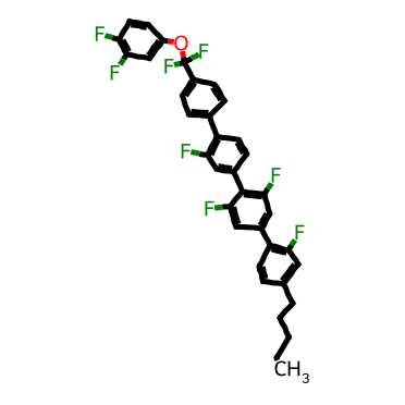 CCCCCc1ccc(-c2cc(F)c(-c3ccc(-c4ccc(C(F)(F)Oc5ccc(F)c(F)c5)cc4)c(F)c3)c(F)c2)c(F)c1